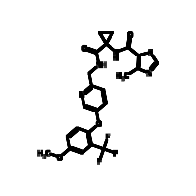 COc1ccc(Oc2ccc(CNC(=O)C3(NC(=O)c4scnc4C)CC3)nc2)c(C(F)(F)F)c1